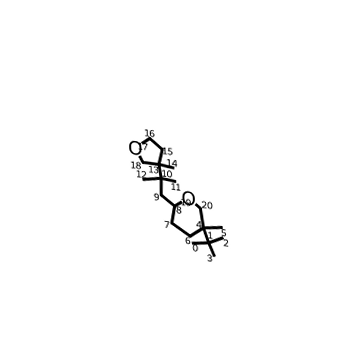 CC(C)(C)C1(C)CCC(CC(C)(C)C2(C)CCOC2)OC1